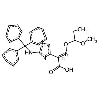 CCC(OC)O/N=C(/C(=O)O)c1csc(NC(c2ccccc2)(c2ccccc2)c2ccccc2)n1